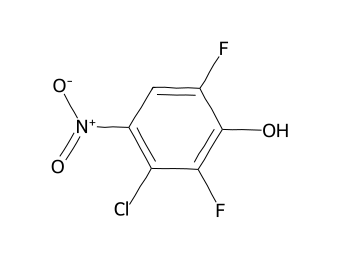 O=[N+]([O-])c1cc(F)c(O)c(F)c1Cl